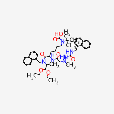 CCOC(OCC)C(C)N(Cc1cccc2ccccc12)C(=O)C(CCCCN(C(=O)O)C(C)(C)C)NC(=O)CN(C)NC(=O)NCc1cccc2ccccc12